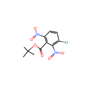 CC(C)(C)OC(=O)c1c([N+](=O)[O-])ccc(Cl)c1[N+](=O)[O-]